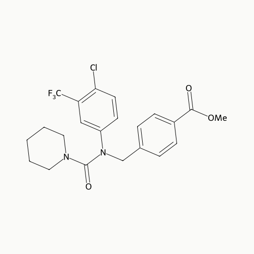 COC(=O)c1ccc(CN(C(=O)N2CCCCC2)c2ccc(Cl)c(C(F)(F)F)c2)cc1